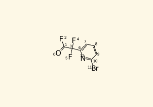 O=C(F)C(F)(F)c1cccc(Br)n1